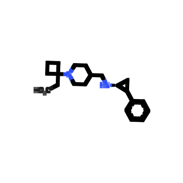 O=C(O)CC1(N2CCC(CN[C@@H]3CC3c3ccccc3)CC2)CCC1